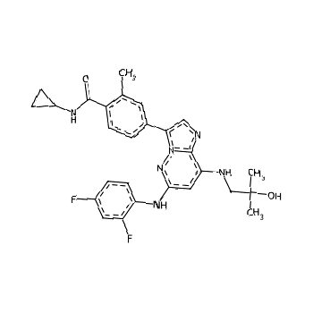 Cc1cc(-c2cnc3c(NCC(C)(C)O)cc(Nc4ccc(F)cc4F)nn23)ccc1C(=O)NC1CC1